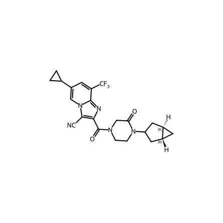 N#Cc1c(C(=O)N2CCN(C3C[C@H]4C[C@@H]4C3)C(=O)C2)nc2c(C(F)(F)F)cc(C3CC3)cn12